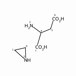 C1CN1.NC(CC(=O)O)C(=O)O